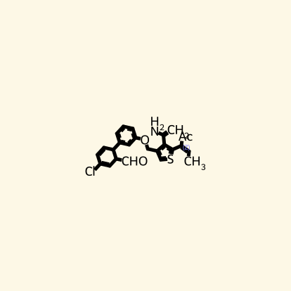 C=C(N)c1c(COc2cccc(C3C=CC(Cl)=CC3C=O)c2)csc1/C(=C\C)C(C)=O